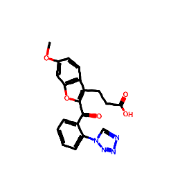 COc1ccc2c(CCC(=O)O)c(C(=O)c3ccccc3-n3cnnn3)oc2c1